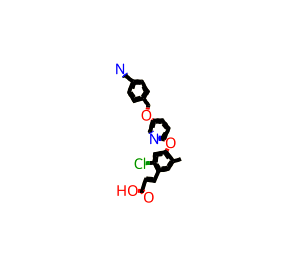 Cc1cc(C=CC(=O)O)c(Cl)cc1Oc1ccc(OCc2ccc(C#N)cc2)cn1